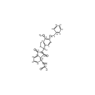 CCC(C)(c1ccc(OCc2ccccc2)c(OC)c1)N1C(=O)c2cccc(NC(C)=O)c2C1=O